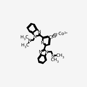 CN(C)Cn1c(-c2cccc(-c3nc4ccccc4n3CN(C)C)n2)nc2ccccc21.[Cl-].[Cl-].[Cl-].[Co+3]